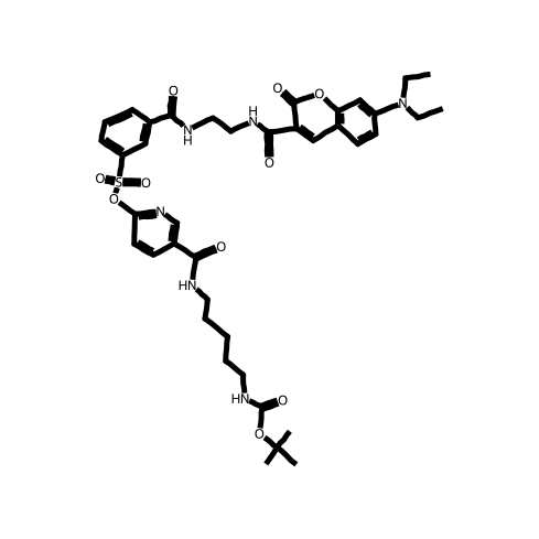 CCN(CC)c1ccc2cc(C(=O)NCCNC(=O)c3cccc(S(=O)(=O)Oc4ccc(C(=O)NCCCCCNC(=O)OC(C)(C)C)cn4)c3)c(=O)oc2c1